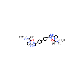 CCOC(=O)N[C@H](C(=O)N1CCC[C@H]1c1nc(-c2ccc(-c3ccc(-c4c[nH]c([C@@H]5CCCN5C(=O)[C@H](C(C)C)N(CC)C(=O)O)n4)cc3)cc2)c[nH]1)C(C)C